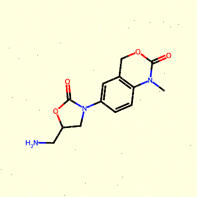 CN1C(=O)OCc2cc(N3CC(CN)OC3=O)ccc21